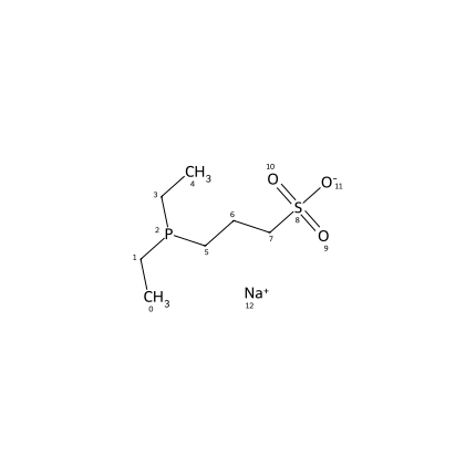 CCP(CC)CCCS(=O)(=O)[O-].[Na+]